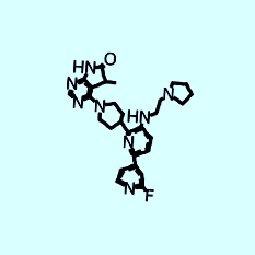 CC1C(=O)Nc2ncnc(N3CCC(c4nc(-c5ccnc(F)c5)ccc4NCCN4CCCC4)CC3)c21